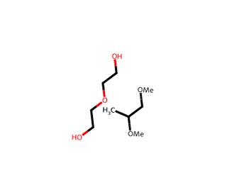 COCC(C)OC.OCCOCCO